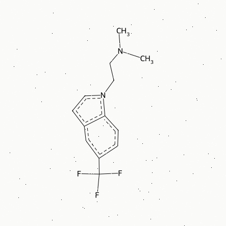 CN(C)CCn1ccc2cc(C(F)(F)F)ccc21